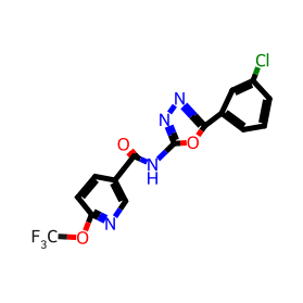 O=C(Nc1nnc(-c2cccc(Cl)c2)o1)c1ccc(OC(F)(F)F)nc1